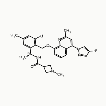 Cc1cc(Cl)c(COc2cccc3c(-n4cc(F)cn4)cc(C)nc23)c([C@H](C)NC(=O)C2CN(C)C2)c1